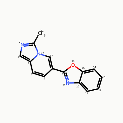 FC(F)(F)c1ncc2ccc(-c3nc4ccccc4o3)cn12